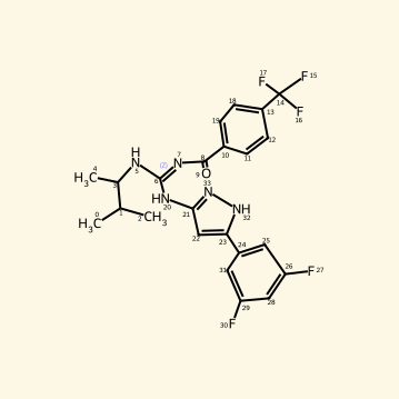 CC(C)C(C)N/C(=N/C(=O)c1ccc(C(F)(F)F)cc1)Nc1cc(-c2cc(F)cc(F)c2)[nH]n1